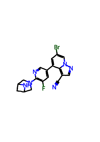 N#Cc1cnn2cc(Br)cc(-c3cnc(N4CC5CC(C4)N5)c(F)c3)c12